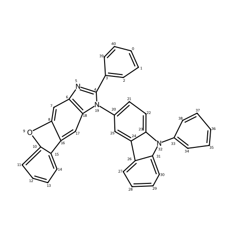 c1ccc(-c2nc3cc4oc5ccccc5c4cc3n2-c2ccc3c(c2)c2ccccc2n3-c2ccccc2)cc1